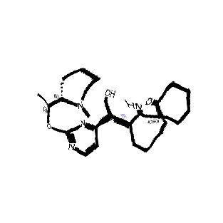 C[C@H](Oc1nccc(/C(O)=C2\CCC[C@@]3(CCCCC3=O)C2=N)n1)[C@@H]1CCCN1C